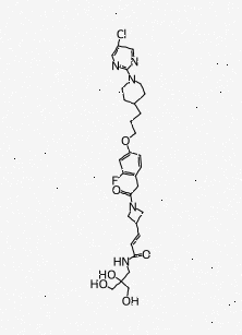 O=C(/C=C/C1CN(C(=O)Cc2ccc(OCCCC3CCN(c4ncc(Cl)cn4)CC3)cc2F)C1)NCC(O)(CO)CO